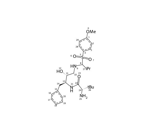 COc1ccc(S(=O)(=O)C(NC[C@@H](O)[C@H](Cc2ccccc2)NC(=O)[C@@H](N)C(C)(C)C)C(C)C)cc1